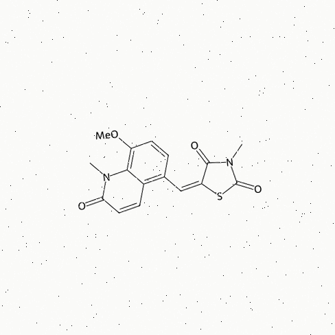 COc1ccc(/C=C2/SC(=O)N(C)C2=O)c2ccc(=O)n(C)c12